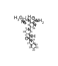 Cc1cc(Nc2cc(N3CCCC(NC(=O)N4Cc5ccccc5C4)C3)cnc2C(N)=O)sn1